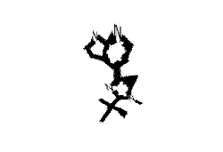 Cn1cc(-c2ccnc3c2CC=N3)nc1C(C)(C)C